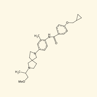 COCC(C)N1CCC2(CCN(c3ccc(NC(=O)c4ccc(OCC5CC5)cc4)c(C)c3)C2)C1